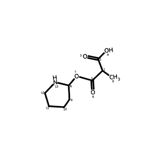 CC(C(=O)O)C(=O)OC1CCCCN1